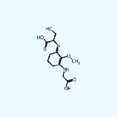 COC1=C(NCC(=O)O)CCC/C1=N\C(CO)C(=O)O